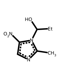 CCC(O)n1c([N+](=O)[O-])cnc1C